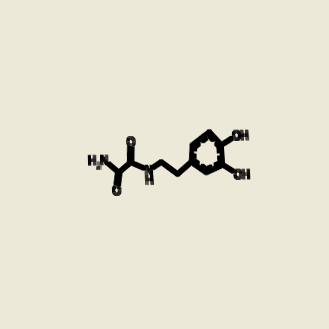 NC(=O)C(=O)NCCc1ccc(O)c(O)c1